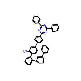 Nc1cc(-c2ccc(-c3nc(-c4ccccc4)nc(-c4ccccc4)n3)cc2)ccc1-c1ccccc1-c1cccc(-c2ccccc2)c1